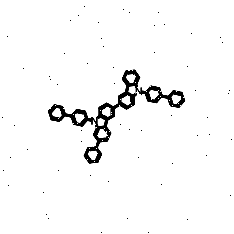 c1ccc(-c2ccc(-n3c4ccccc4c4cc(-c5ccc6c(c5)c5ccc(-c7ccccc7)cc5n6-c5ccc(-c6ccccc6)cc5)ccc43)cc2)cc1